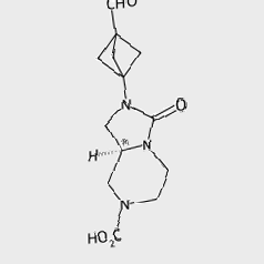 O=CC12CC(N3C[C@@H]4CN(C(=O)O)CCN4C3=O)(C1)C2